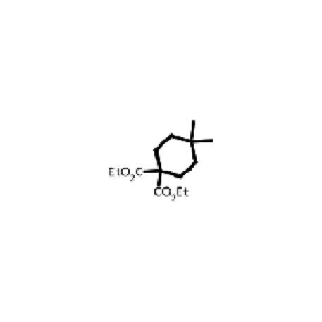 CCOC(=O)C1(C(=O)OCC)CCC(C)(C)CC1